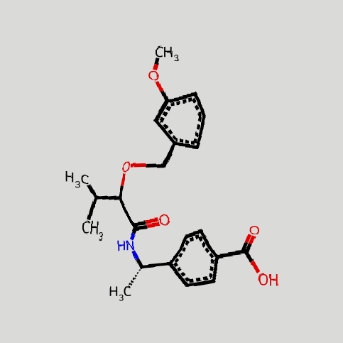 COc1cccc(COC(C(=O)N[C@@H](C)c2ccc(C(=O)O)cc2)C(C)C)c1